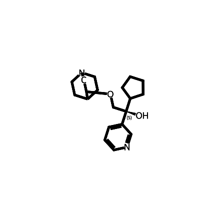 O[C@](COC1CN2CCC1CC2)(c1cccnc1)C1CCCC1